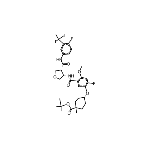 COc1cc(F)c(O[C@H]2CC[C@@](C)(C(=O)OC(C)(C)C)CC2)cc1C(=O)N[C@@H]1COC[C@@H]1C(=O)Nc1ccc(F)c(C(C)(I)I)c1